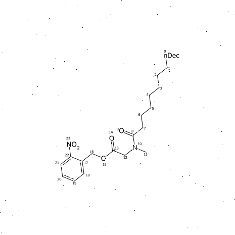 CCCCCCCCCCCCCCCCCC(=O)N(C)CC(=O)OCc1ccccc1[N+](=O)[O-]